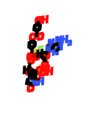 Nc1ncnc2c1ncn2[C@@H]1OC2COP(=O)(O)O[C@@H]3[C@H](F)[C@@H](CO[P@](=O)(SCc4ccc(OC(=O)c5ccc(O)cc5)cc4)O[C@H]2[C@H]1F)O[C@H]3n1ccc(=O)[nH]c1=O